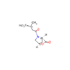 C[C@@H](CC(=O)N1C[C@H]2C[C@@H]1C(=O)O2)C(=O)O